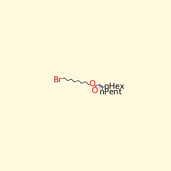 CCCCCC/C(=C/C(=O)OCCCCCCCCBr)CCCCC